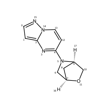 c1cc2nc(N3C[C@H]4C[C@@H]3CO4)ccn2n1